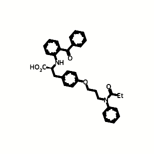 CCC(=O)N(CCCOc1ccc(C[C@H](Nc2ccccc2C(=O)c2ccccc2)C(=O)O)cc1)c1ccccc1